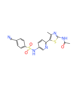 CC(=O)Nc1nc(C)c(-c2ccc(NS(=O)(=O)c3ccc(C#N)cc3)cn2)s1